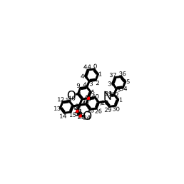 c1ccc(-c2ccc3c(c2)Oc2ccccc2C32c3ccccc3Oc3cc(-c4cccc(-c5ccccc5)n4)ccc32)cc1